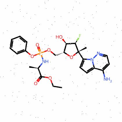 CCOC(=O)[C@@H](C)NP(=O)(OC[C@H]1O[C@@](C)(c2ccc3c(N)ccnn23)[C@H](F)[C@@H]1O)Oc1ccccc1